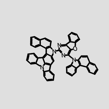 c1ccc2c(c1)ccc1c2c2ccccc2n1-c1nc(-n2c3ccc4ccccc4c3c3c4c5ccccc5n5c6ccccc6c(cc32)c45)nc2c1oc1ccccc12